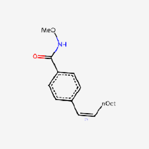 CCCCCCCC/C=C\c1ccc(C(=O)NOC)cc1